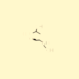 CCN[C@H](C=O)CC(C)C